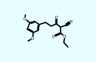 CCOC(=O)C(C#N)C(=O)CCc1cc(OC)cc(OC)c1